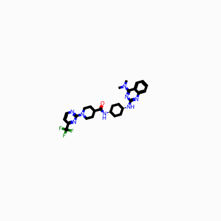 CN(C)c1nc(N[C@H]2CC[C@@H](NC(=O)C3CCN(c4nccc(C(F)(F)F)n4)CC3)CC2)nc2ccccc12